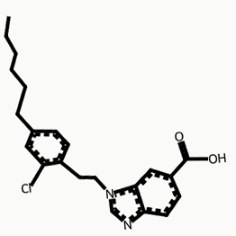 CCCCCCc1ccc(CCn2cnc3ccc(C(=O)O)cc32)c(Cl)c1